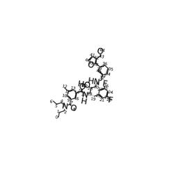 CCCN(CCC)C(=O)c1cc(C)cc(C(=O)N[C@@H](Cc2cc(F)cc(F)c2)[C@H](O)CNCc2cccc(-c3occc3C=O)c2)c1